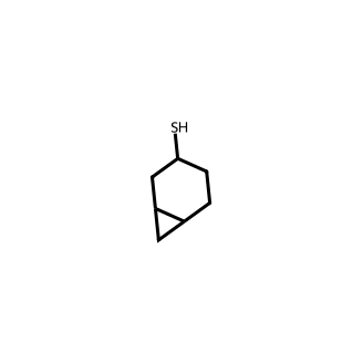 SC1CCC2CC2C1